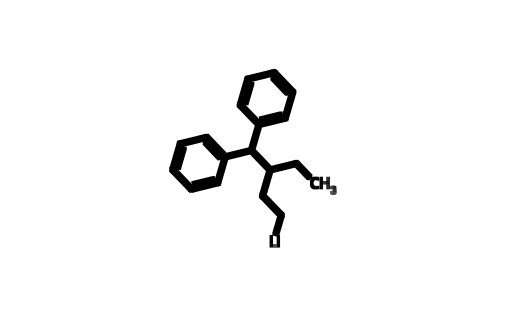 [Li][CH2]CC(CC)C(c1ccccc1)c1ccccc1